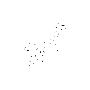 N#Cc1ccc(-c2ccccc2-c2cccc(-c3nc(-c4ccccc4)nc(-c4ccc(-c5cccc6ccccc56)cc4)n3)c2)cc1-c1ccccc1-c1ccc2c3ccccc3c3ccccc3c2c1